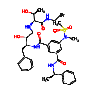 CC(C)CNC(=O)[C@@H](NC[C@@H](O)[C@H](Cc1ccccc1)NC(=O)c1cc(C(=O)N[C@H](C)c2ccccc2)cc(N(C)S(C)(=O)=O)c1)[C@H](C)O